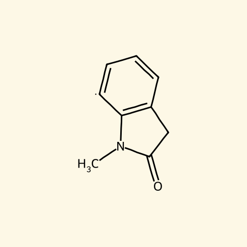 CN1C(=O)Cc2ccc[c]c21